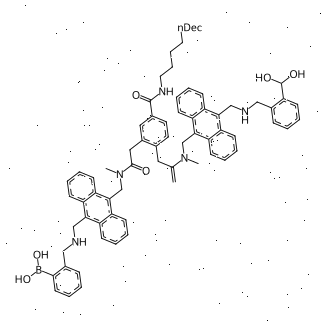 C=C(Cc1ccc(C(=O)NCCCCCCCCCCCCCC)cc1CC(=O)N(C)Cc1c2ccccc2c(CNCc2ccccc2B(O)O)c2ccccc12)N(C)Cc1c2ccccc2c(CNCc2ccccc2C(O)O)c2ccccc12